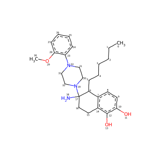 CCCCCCC1c2ccc(O)c(O)c2CCC1(N)N1CCN(c2ccccc2OC)CC1